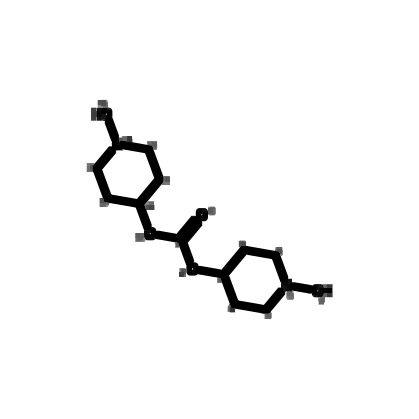 O=C(OC1CCN(O)CC1)OC1CCN(O)CC1